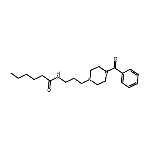 CCCCCC(=O)NCCCN1CCN(C(=O)c2ccccc2)CC1